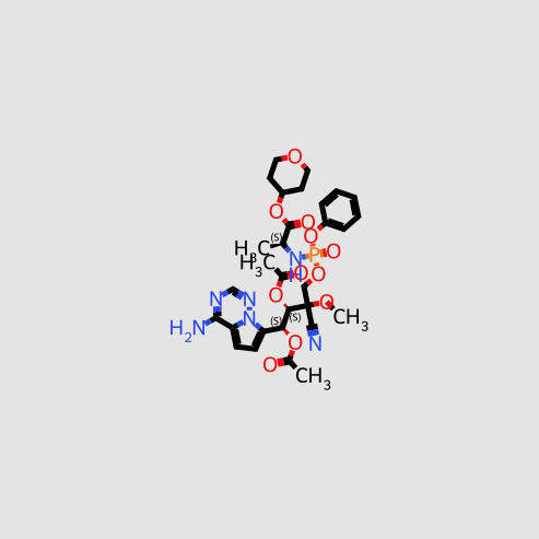 COC(C#N)(COP(=O)(N[C@@H](C)C(=O)OC1CCOCC1)Oc1ccccc1)[C@@H](OC(C)=O)[C@@H](OC(C)=O)c1ccc2c(N)ncnn12